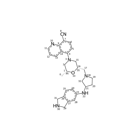 C[C@@H]1CN(c2ccc(C#N)c3ncccc23)C[C@H](CN2CCC(Nc3ccc4c(c3)CNC4)C2)O1